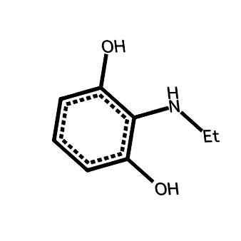 CCNc1c(O)cccc1O